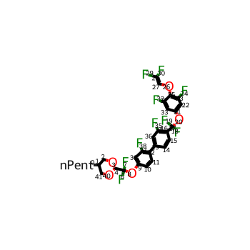 CCCCCC1COC(C(F)(F)Oc2ccc(-c3ccc(C(F)(F)Oc4cc(F)c(OC=C(F)F)c(F)c4)c(F)c3)c(F)c2)OC1